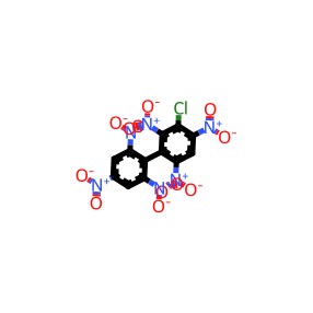 O=[N+]([O-])c1cc([N+](=O)[O-])c(-c2c([N+](=O)[O-])cc([N+](=O)[O-])c(Cl)c2[N+](=O)[O-])c([N+](=O)[O-])c1